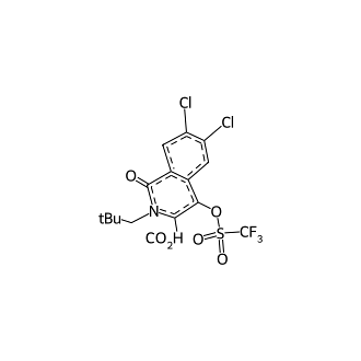 CC(C)(C)Cn1c(C(=O)O)c(OS(=O)(=O)C(F)(F)F)c2cc(Cl)c(Cl)cc2c1=O